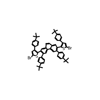 CC(C)(C)c1ccc(-c2cc3c(ccc4cc(-c5sc(Br)cc5-c5ccc(C(C)(C)C)cc5)c(-c5ccc(C(C)(C)C)cc5)cc43)cc2-c2sc(Br)cc2-c2ccc(C(C)(C)C)cc2)cc1